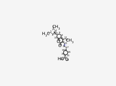 CCCN(CCC)c1ccc2c(CC)c(/C=C/Cc3ccc(C(=O)O)cc3)c(=O)oc2c1